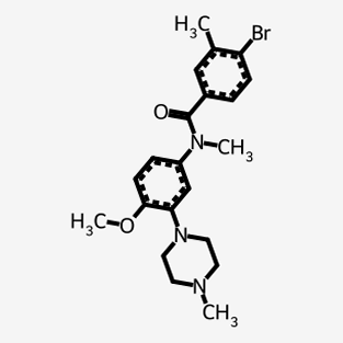 COc1ccc(N(C)C(=O)c2ccc(Br)c(C)c2)cc1N1CCN(C)CC1